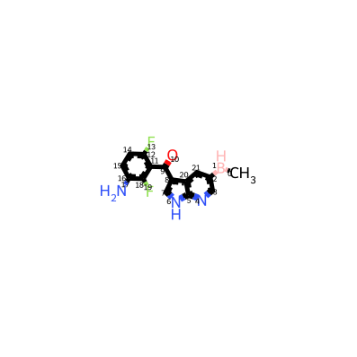 CBc1cnc2[nH]cc(C(=O)c3c(F)ccc(N)c3F)c2c1